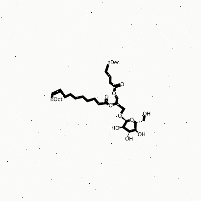 CCCCCCCC/C=C\CCCCCCCC(=O)OC(COC(=O)CCCCCCCCCCCCC)CO[C@H]1O[C@H](CO)[C@@H](O)[C@H](O)[C@H]1O